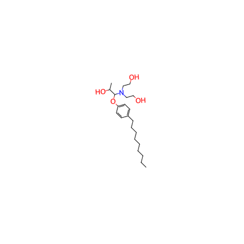 CCCCCCCCCc1ccc(OC(C(C)O)N(CCO)CCO)cc1